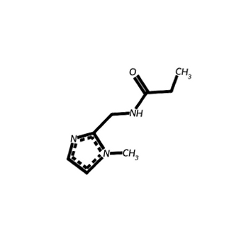 CCC(=O)NCc1nccn1C